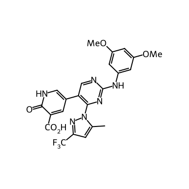 COc1cc(Nc2ncc(-c3c[nH]c(=O)c(C(=O)O)c3)c(-n3nc(C(F)(F)F)cc3C)n2)cc(OC)c1